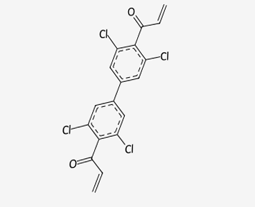 C=CC(=O)c1c(Cl)cc(-c2cc(Cl)c(C(=O)C=C)c(Cl)c2)cc1Cl